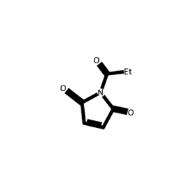 CCC(=O)N1C(=O)C=CC1=O